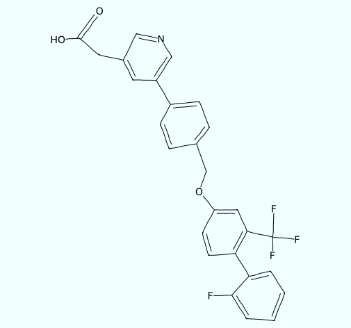 O=C(O)Cc1cncc(-c2ccc(COc3ccc(-c4ccccc4F)c(C(F)(F)F)c3)cc2)c1